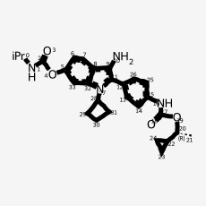 CC(C)NC(=O)Oc1ccc2c(N)c(-c3ccc(NC(=O)O[C@H](C)C4CC4)cc3)n(C3CCC3)c2c1